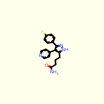 NC(=O)CCCc1[nH]nc(-c2ccc(F)cc2)c1-c1ccncc1